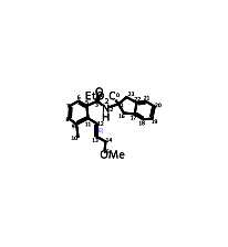 CCOC(=O)C1(NC(=O)c2cccc(C)c2/C=C/COC)Cc2ccccc2C1